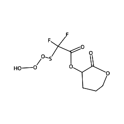 O=C1OCCCC1OC(=O)C(F)(F)SOOO